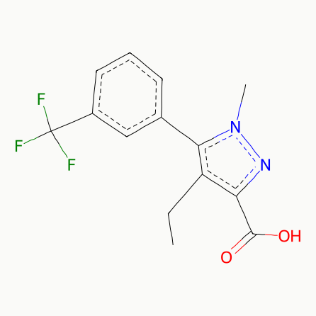 CCc1c(C(=O)O)nn(C)c1-c1cccc(C(F)(F)F)c1